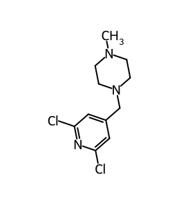 CN1CCN(Cc2cc(Cl)nc(Cl)c2)CC1